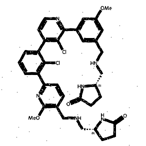 COc1cc(CNC[C@@H]2CCC(=O)N2)cc(-c2nccc(-c3cccc(-c4ccc(CNC[C@H]5CCC(=O)N5)c(OC)n4)c3Cl)c2Cl)c1